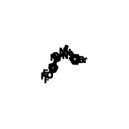 Cc1nc(-c2cc(-c3ccc(OC(F)(F)F)cc3)no2)nn1Cc1cccc(Br)c1